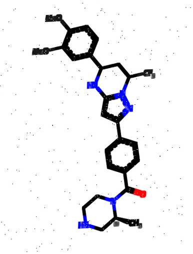 COc1ccc(C2CC(C(F)(F)F)n3nc(-c4ccc(C(=O)N5CCNC[C@@H]5C)cc4)cc3N2)cc1OC